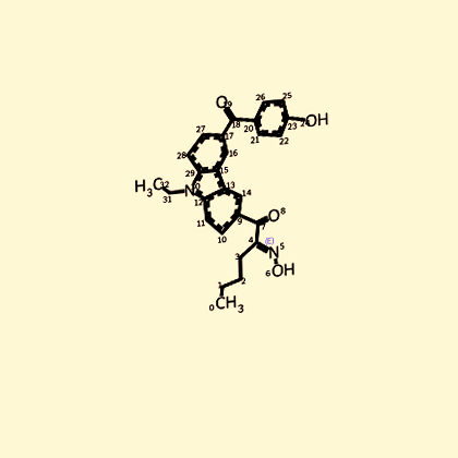 CCCC/C(=N\O)C(=O)c1ccc2c(c1)c1cc(C(=O)c3ccc(O)cc3)ccc1n2CC